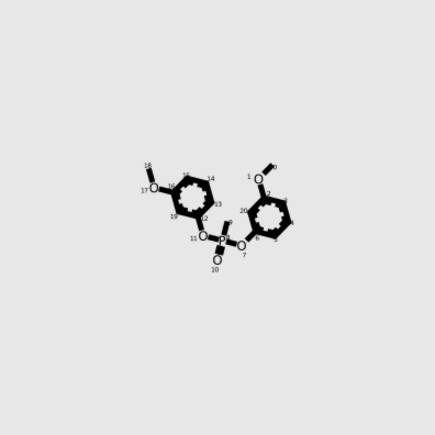 COc1cccc(OP(C)(=O)Oc2cccc(OC)c2)c1